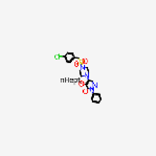 CCCCCCCOc1c(N2CCN(S(=O)(=O)Cc3ccc(Cl)cc3)CC2)cnn(-c2ccccc2)c1=O